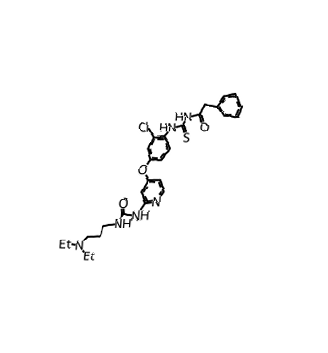 CCN(CC)CCCNC(=O)Nc1cc(Oc2ccc(NC(=S)NC(=O)Cc3ccccc3)c(Cl)c2)ccn1